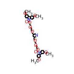 COc1ccc2c(c1)c1cc(OC)ccc1n2C(=O)OCCOCCOCc1cncc(COCCOCCOC(=O)n2c3ccc(OC)cc3c3cc(OC)ccc32)c1